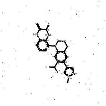 C=C1Nc2cccc(N3CCCc4cc(-c5cnn(C)c5)c(C(F)F)cc43)c2NC1C